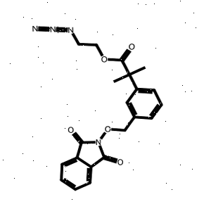 CC(C)(C(=O)OCCN=[N+]=[N-])c1cccc(CON2C(=O)c3ccccc3C2=O)c1